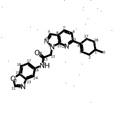 CC1CC=C(c2ccc3cnn(CC(=O)Nc4ccc5ocnc5c4)c3n2)CC1